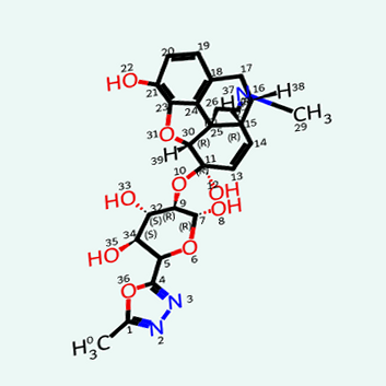 Cc1nnc(C2O[C@@H](O)[C@H](O[C@]3(O)C=C[C@H]4[C@H]5Cc6ccc(O)c7c6[C@@]4(CCN5C)[C@H]3O7)[C@@H](O)[C@@H]2O)o1